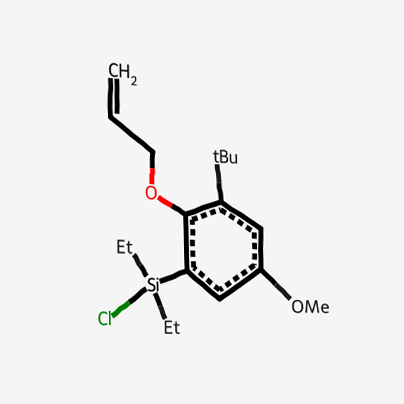 C=CCOc1c(C(C)(C)C)cc(OC)cc1[Si](Cl)(CC)CC